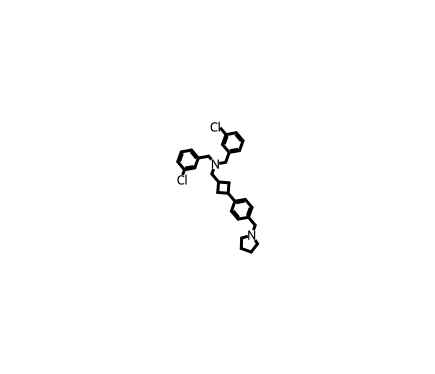 Clc1cccc(CN(Cc2cccc(Cl)c2)CC2CC(c3ccc(CN4CCCC4)cc3)C2)c1